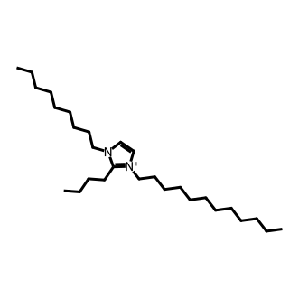 CCCCCCCCCCCC[n+]1ccn(CCCCCCCCC)c1CCCC